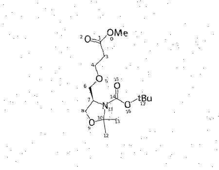 COC(=O)CCOC[C@@H]1COC(C)(C)N1C(=O)OC(C)(C)C